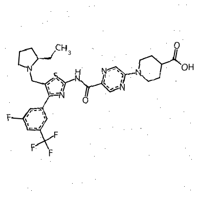 CC[C@@H]1CCCN1Cc1sc(NC(=O)c2cnc(N3CCC(C(=O)O)CC3)cn2)nc1-c1cc(F)cc(C(F)(F)F)c1